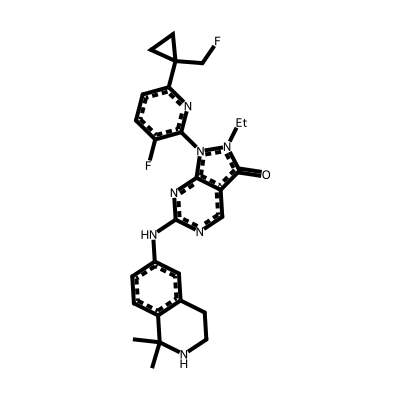 CCn1c(=O)c2cnc(Nc3ccc4c(c3)CCNC4(C)C)nc2n1-c1nc(C2(CF)CC2)ccc1F